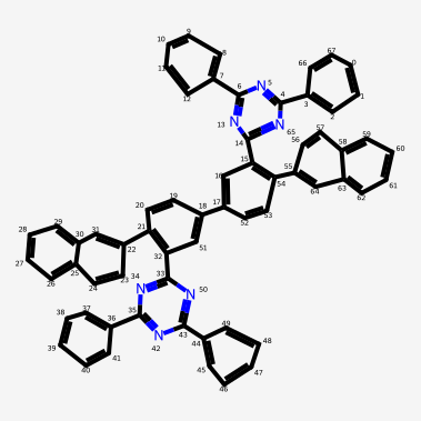 c1ccc(-c2nc(-c3ccccc3)nc(-c3cc(-c4ccc(-c5ccc6ccccc6c5)c(-c5nc(-c6ccccc6)nc(-c6ccccc6)n5)c4)ccc3-c3ccc4ccccc4c3)n2)cc1